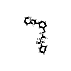 O=C(NCc1cccc(-c2cn3ncccc3n2)c1)NS(=O)(=O)c1ccccc1